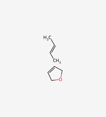 C1=CCOC1.CC=CC